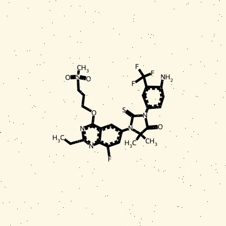 CCc1nc(OCCCS(C)(=O)=O)c2cc(N3C(=S)N(c4ccc(N)c(C(F)(F)F)c4)C(=O)C3(C)C)cc(F)c2n1